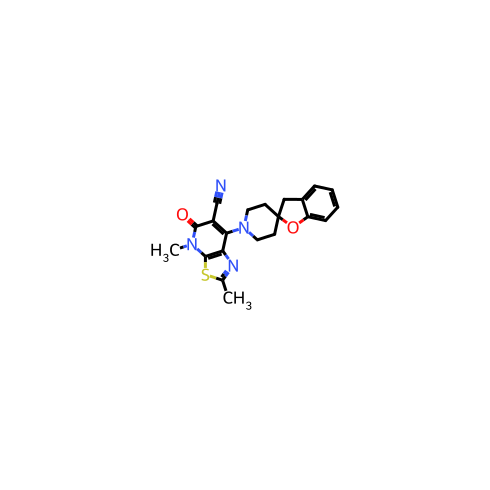 Cc1nc2c(N3CCC4(CC3)Cc3ccccc3O4)c(C#N)c(=O)n(C)c2s1